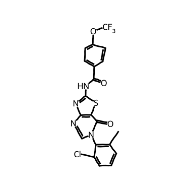 Cc1cccc(Cl)c1-n1cnc2nc(NC(=O)c3ccc(OC(F)(F)F)cc3)sc2c1=O